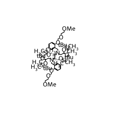 COCCOCOc1ccccc1CN(CC(=O)O[Si](C)(C)C(C)(C)C)[C@@H](CO[Si](C)(C)C(C)(C)C)[C@H](CO[Si](C)(C)C(C)(C)C)N(CC(=O)O[Si](C)(C)C(C)(C)C)Cc1ccccc1OCOCCOC